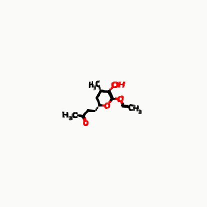 CCO[C@H]1O[C@H](CCC(C)=O)C[C@H](C)[C@@H]1O